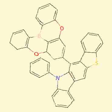 C1=CC2=C(CC1)OC1CC(c3c4c(cc5c6ccccc6n(-c6ccccc6)c35)sc3ccccc34)=CC3=C1B2c1ccccc1O3